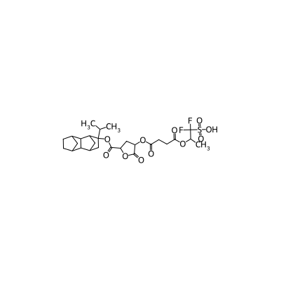 CC(C)C1(OC(=O)C2CC(OC(=O)CCC(=O)OC(C)C(F)(F)S(=O)(=O)O)C(=O)O2)CC2CC1C1C3CCC(C3)C21